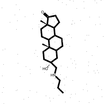 CCCNC[C@@]1(O)CC[C@@]2(C)C(CCC3C2CC[C@]2(C)C(=O)CCC32)C1